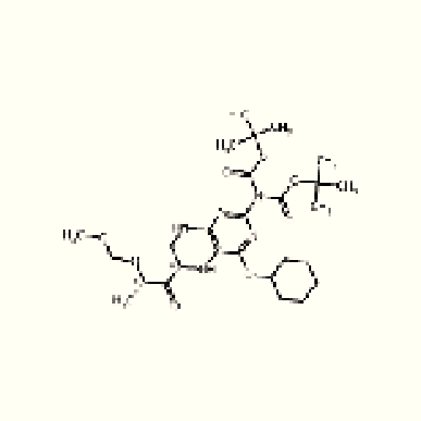 COCO[C@@H](C)C(=O)[C@H]1CNc2nc(N(C(=O)OC(C)(C)C)C(=O)OC(C)(C)C)nc(OC3CCCCC3)c2N1